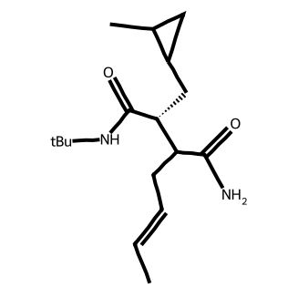 C/C=C/CC(C(N)=O)[C@@H](CC1CC1C)C(=O)NC(C)(C)C